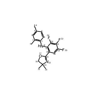 Cc1cc(I)ccc1Nc1c(C2=NC(C)(C)CO2)cc(F)c(F)c1F